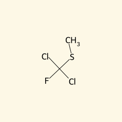 CSC(F)(Cl)Cl